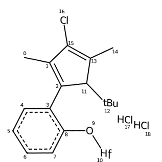 CC1=C(c2ccccc2[O][Hf])C(C(C)(C)C)C(C)=C1Cl.Cl.Cl